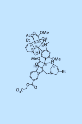 CCC1=C[C@H]2CN(C1)Cc1c([nH]c3ccc(C(=O)OCC(Cl)(Cl)Cl)cc13)[C@@](C(=O)OC)(c1cc3c(cc1OC)N(C)[C@H]1[C@@](O)(C(=O)OC)[C@H](OC(C)=O)[C@]4(CC)C=CCN5CC[C@]31[C@@H]54)C2